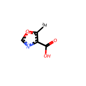 [2H]c1ocnc1C(=O)O